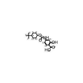 CC(C)(C)C1CCC(OC(=O)Nc2ccc(C(=O)O)c(O)c2)CC1